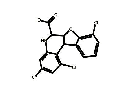 O=C(O)C1Nc2cc(Cl)cc(Cl)c2C2c3cccc(Cl)c3OC12